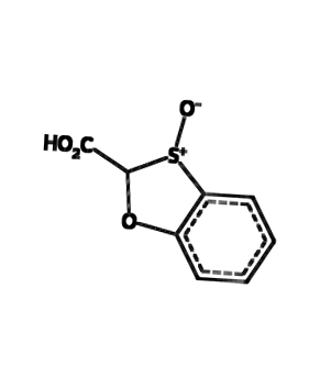 O=C(O)C1Oc2ccccc2[S+]1[O-]